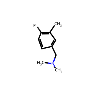 Cc1cc(CN(C)C)ccc1C(C)C